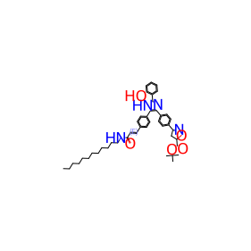 CCCCCCCCCCCCNC(=O)/C=C/c1ccc(-c2[nH]c(-c3ccccc3O)nc2-c2ccc(C3=NOC(C(=O)OC(C)(C)C)C3)cc2)cc1